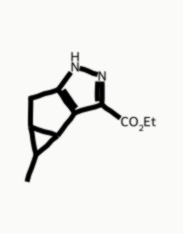 CCOC(=O)c1n[nH]c2c1C1C(C)C1C2